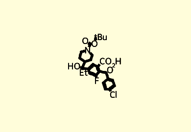 CC[C@@](O)(c1cc(F)c(C(=O)c2ccc(Cl)cc2)c(C(=O)O)c1)C1CCN(C(=O)OC(C)(C)C)CC1